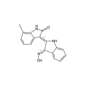 O=C1Nc2c(I)cccc2/C1=C1/Nc2ccccc2/C1=N\O